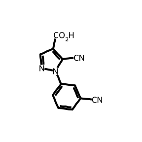 N#Cc1cccc(-n2ncc(C(=O)O)c2C#N)c1